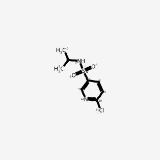 CC(C)NS(=O)(=O)c1ccc(Cl)nc1